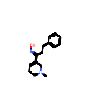 CN1CCC=C(C(CCc2ccccc2)=NO)C1